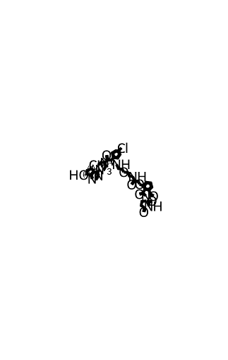 C[C@@H]1C[C@@H](O)c2ncnc(N3CCN(C(=O)[C@H](CNCCOCCNC(=O)COc4cccc5c4C(=O)N(C4CCC(=O)NC4=O)C5=O)c4ccc(Cl)cc4)CC3)c21